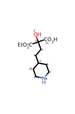 CCOC(=O)C(O)(CCC1CCNCC1)C(=O)O